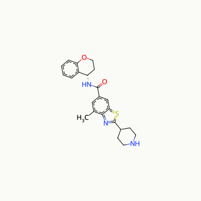 Cc1cc(C(=O)N[C@H]2CCOc3ccccc32)cc2sc(C3CCNCC3)nc12